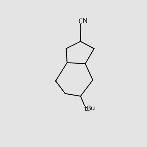 CC(C)(C)C1CCC2CC(C#N)CC2C1